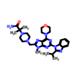 CC(C)c1nc2ccccc2n1-c1nc(N2CCOCC2)c2nc(CN3CCN(C(C)(C)C(N)=O)CC3)n(C)c2n1